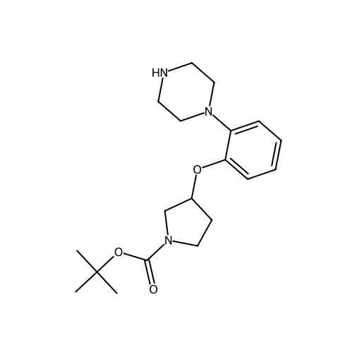 CC(C)(C)OC(=O)N1CCC(Oc2ccccc2N2CCNCC2)C1